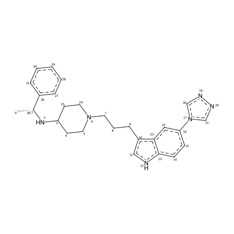 C[C@@H](NC1CCN(CCCc2c[nH]c3ccc(-n4cnnc4)cc23)CC1)c1ccccc1